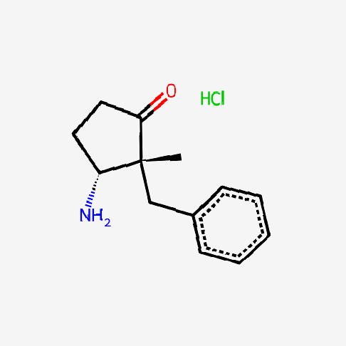 C[C@]1(Cc2ccccc2)C(=O)CC[C@H]1N.Cl